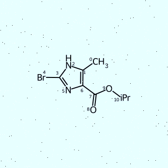 Cc1[nH]c(Br)nc1C(=O)OC(C)C